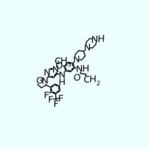 C=CC(=O)Nc1cc(Nc2cc(N3OCCC3c3cccc(C(F)(F)F)c3F)ncn2)c(OC)cc1N1CCC(N2CCNCC2)CC1